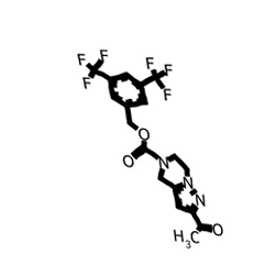 CC(=O)c1cc2n(n1)CCN(C(=O)OCc1cc(C(F)(F)F)cc(C(F)(F)F)c1)C2